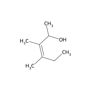 CCC(C)=C(C)C(C)O